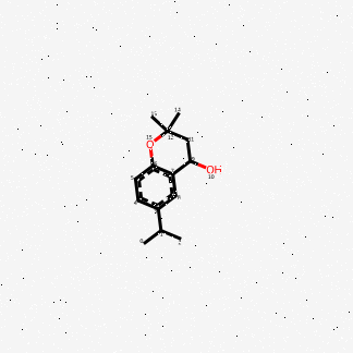 CC(C)c1ccc2c(c1)C(O)CC(C)(C)O2